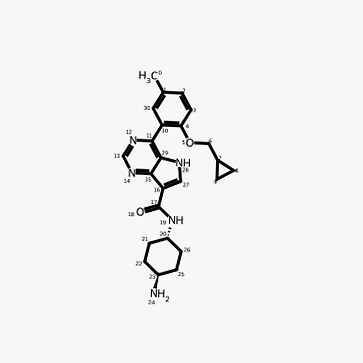 Cc1ccc(OCC2CC2)c(-c2ncnc3c(C(=O)N[C@H]4CC[C@H](N)CC4)c[nH]c23)c1